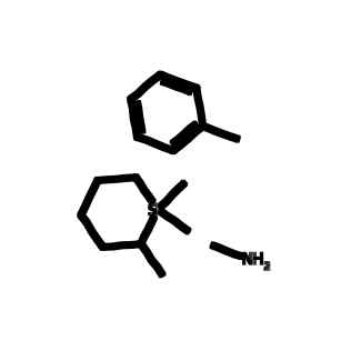 CC1CCCC[Si]1(C)C.CN.Cc1ccccc1